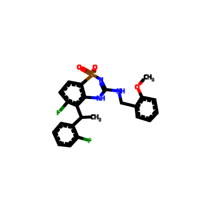 COc1ccccc1CNC1=NS(=O)(=O)c2ccc(F)c(C(C)c3ccccc3F)c2N1